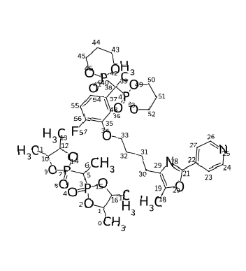 CC1OP(=O)(C(C)P2(=O)OC(C)C(C)O2)OC1C.Cc1oc(-c2ccncc2)nc1CCCCOc1cc(C(C)(P2(=O)OCCCO2)P2(=O)OCCCO2)ccc1F